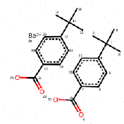 CC(C)(C)c1ccc(C(=O)[O-])cc1.CC(C)(C)c1ccc(C(=O)[O-])cc1.[Ba+2]